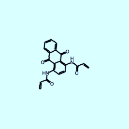 C=CC(=O)Nc1ccc(NC(=O)C=C)c2c1C(=O)c1ccccc1C2=O